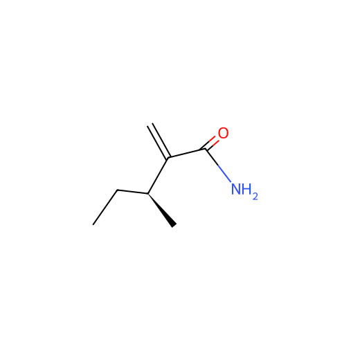 C=C(C(N)=O)[C@@H](C)CC